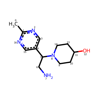 Cc1ncc(C(CN)N2CCC(O)CC2)cn1